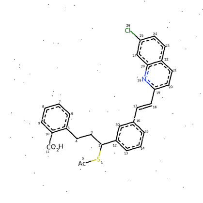 CC(=O)SC(CCc1ccccc1C(=O)O)c1cccc(C=Cc2ccc3ccc(Cl)cc3n2)c1